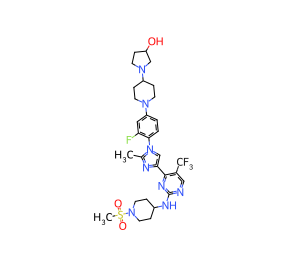 Cc1nc(-c2nc(NC3CCN(S(C)(=O)=O)CC3)ncc2C(F)(F)F)cn1-c1ccc(N2CCC(N3CCC(O)C3)CC2)cc1F